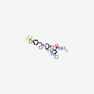 NC(=O)c1cc(Cl)nnc1O[C@@H]1CCN(C(=O)Cc2ccc(OC(F)(F)F)cc2)C[C@H]1F